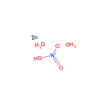 O.O.O=[N+]([O-])O.[Zn]